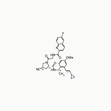 COc1ccc([C@H](C)NC(=O)[C@@H]2C[C@@H](C#N)CN2C(=O)CNC(=O)c2ccc3cc(F)ccc3n2)c(/C=C/C2CC2)c1